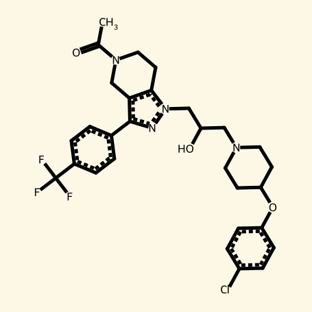 CC(=O)N1CCc2c(c(-c3ccc(C(F)(F)F)cc3)nn2CC(O)CN2CCC(Oc3ccc(Cl)cc3)CC2)C1